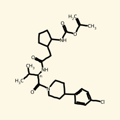 C=C(C)OC(=O)NC1CCCC1CC(=O)N[C@@H](C(=O)N1CCC(c2ccc(Cl)cc2)CC1)C(C)C